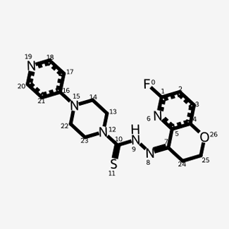 Fc1ccc2c(n1)/C(=N\NC(=S)N1CCN(c3ccncc3)CC1)CCO2